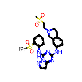 CC(C)S(=O)(=O)c1ccccc1Nc1nc(Nc2ccc3c(c2)CN(CCS(C)(=O)=O)CC3)nc2ccnn12